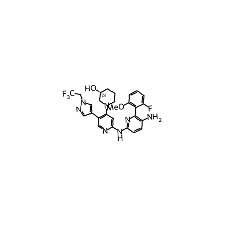 COc1cccc(F)c1-c1nc(Nc2cc(N3CCC[C@H](O)C3)c(-c3cnn(CC(F)(F)F)c3)cn2)ccc1N